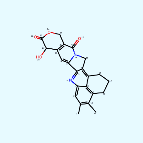 Cc1cc2nc3c(c4c2c(c1C)CCC4)Cn1c-3cc2c(c1=O)COC(=O)C2O